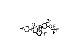 CN1CCC(N(Cc2ccc(F)cn2)C(=O)NCc2ccc(OCC(F)(F)F)c(Br)c2)CC1